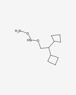 [SiH3]O[SiH]OCC(C1CCC1)C1CCC1